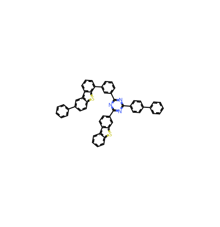 c1ccc(-c2ccc(-c3nc(-c4cccc(-c5cccc6c5sc5ccc(-c7ccccc7)cc56)c4)nc(-c4ccc5c(c4)sc4ccccc45)n3)cc2)cc1